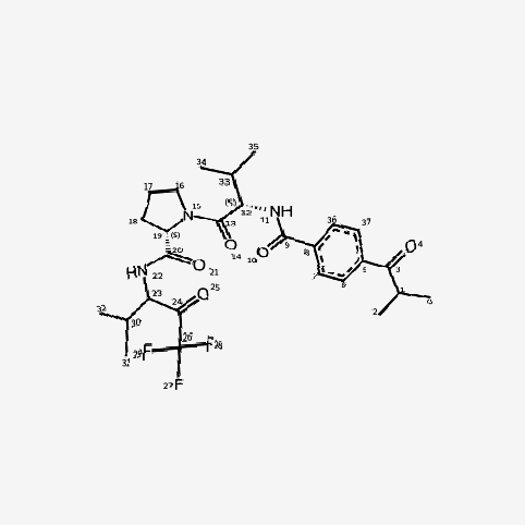 CC(C)C(=O)c1ccc(C(=O)N[C@H](C(=O)N2CCC[C@H]2C(=O)NC(C(=O)C(F)(F)F)C(C)C)C(C)C)cc1